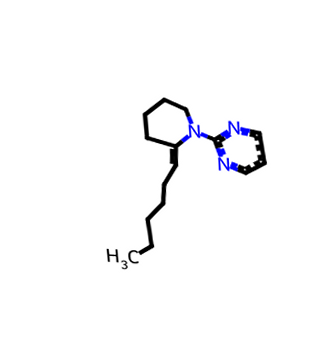 CCCCCC=C1CCCCN1c1ncccn1